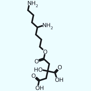 NCCCC(N)CCCOC(=O)CC(O)(CC(=O)O)C(=O)O